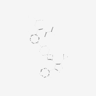 BC(B)C/C(=C/C(=C)C(=C)C)c1cc(N2CCC3(C=C(C4=C(C5CC5)CN=C4c4ccncc4Cl)C3)CC2)ccc1C